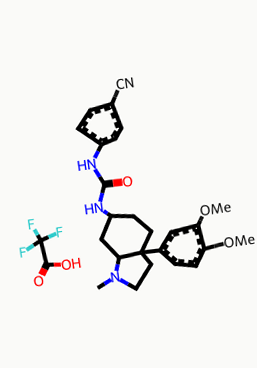 COc1ccc(C23CCC(NC(=O)Nc4ccc(C#N)cc4)CC2N(C)CC3)cc1OC.O=C(O)C(F)(F)F